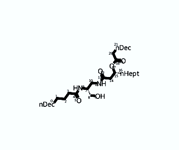 CCCCCCCCCCCCCC(=O)N[C@@H](CO)CNC(=O)C[C@@H](CCCCCCC)OC(=O)CCCCCCCCCCC